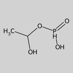 CC(O)O[PH](=O)O